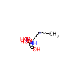 CCCCCCCC/C=C\CCCCCCCC(=O)NC(COP(=O)(O)O)Cc1ccc(O)cc1